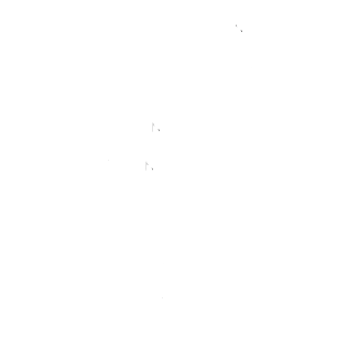 CC1(C)c2cccc(-c3cccc(-c4cc(-c5ccc(-c6cccnc6)cc5)nc(-c5ccccc5)n4)c3)c2-c2c1ccc1ccccc21